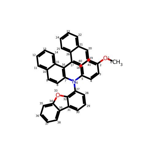 COc1ccc(N(c2ccc3ccccc3c2-c2cccc3ccccc23)c2cccc3c2oc2ccccc23)cc1